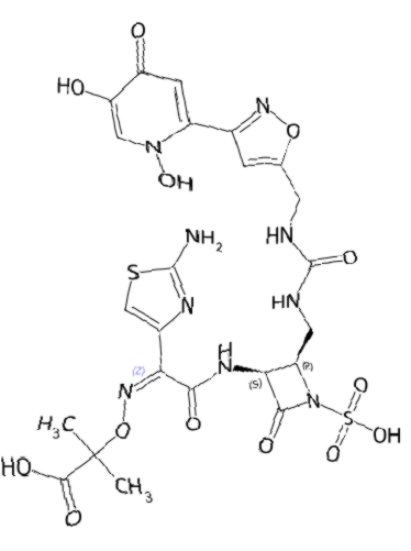 CC(C)(O/N=C(\C(=O)N[C@@H]1C(=O)N(S(=O)(=O)O)[C@@H]1CNC(=O)NCc1cc(-c2cc(=O)c(O)cn2O)no1)c1csc(N)n1)C(=O)O